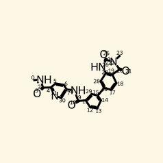 CNC(=O)c1ccc(NC(=O)c2cccc(-c3ccc4c(=O)n(C)c(=O)[nH]c4c3)c2)cn1